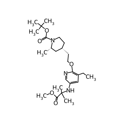 CCc1cc(NC(C)(C)C(=O)OC)cnc1OCC[C@H]1CCN(C(=O)OC(C)(C)C)[C@@H](C)C1